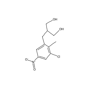 Cc1c(Cl)cc([N+](=O)[O-])cc1CC(CO)CO